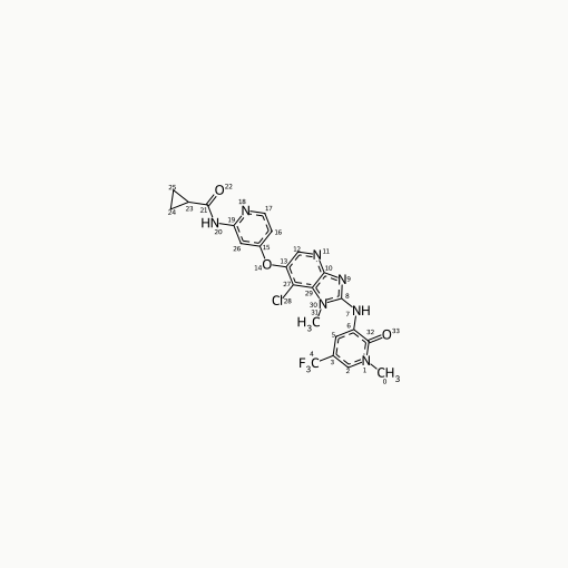 Cn1cc(C(F)(F)F)cc(Nc2nc3ncc(Oc4ccnc(NC(=O)C5CC5)c4)c(Cl)c3n2C)c1=O